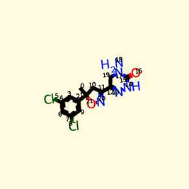 CC1(c2cc(Cl)cc(Cl)c2)CC(C2=NNC(=O)N(N)C2)=NO1